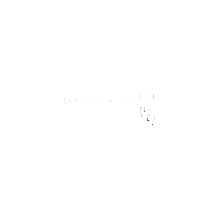 CCC=CCC=CCC=CCC=CCC=CCCC(CCNC(=O)c1cccnc1)C(=O)O